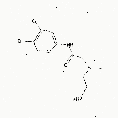 CN(CCO)CC(=O)Nc1ccc(Cl)c(Cl)c1